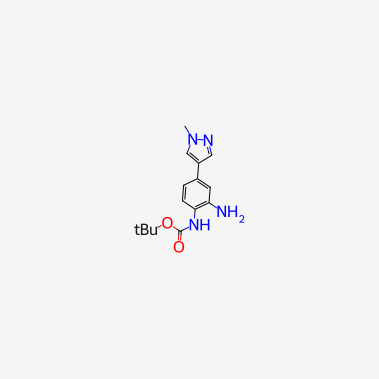 Cn1cc(-c2ccc(NC(=O)OC(C)(C)C)c(N)c2)cn1